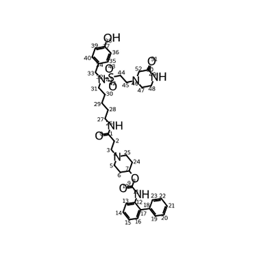 O=C(CCN1CCC(OC(=O)Nc2ccccc2-c2ccccc2)CC1)NCCCCCN(Cc1ccc(O)cc1)S(=O)(=O)CCN1CCNC(=O)C1